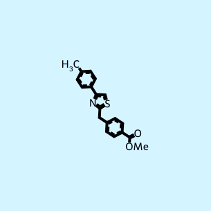 COC(=O)c1ccc(Cc2nc(-c3ccc(C)cc3)cs2)cc1